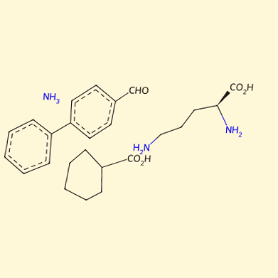 N.NCCC[C@H](N)C(=O)O.O=C(O)C1CCCCC1.O=Cc1ccc(-c2ccccc2)cc1